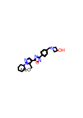 COCc1c(-c2nc(-c3ccc(CN4CC(O)C4)cc3)no2)cnn1C1CCCCC1